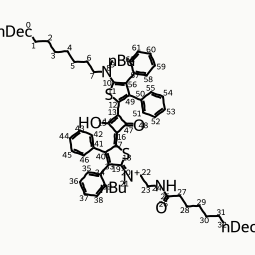 CCCCCCCCCCCCCCCCCN(CCCC)c1sc(C2=C(O)/C(=C3/S/C(=[N+](/CCCC)CCNC(=O)CCCCCCCCCCCCCCC)C(c4ccccc4)=C3c3ccccc3)C2=O)c(-c2ccccc2)c1-c1ccccc1